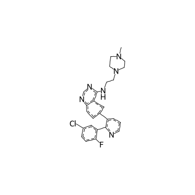 CN1CCN(CCNc2ncnc3ccc(-c4cccnc4-c4cc(Cl)ccc4F)cc23)CC1